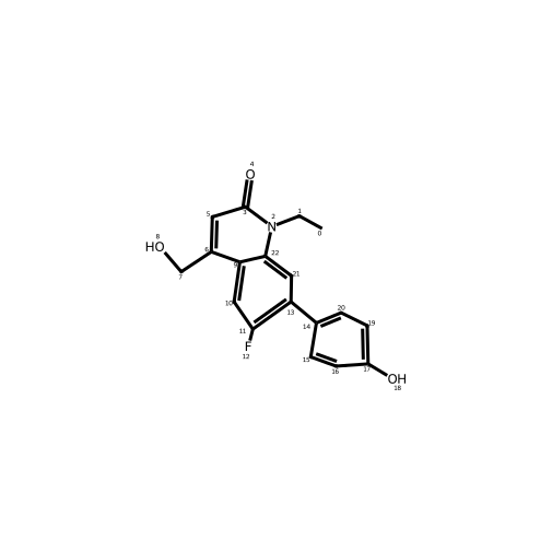 CCn1c(=O)cc(CO)c2cc(F)c(-c3ccc(O)cc3)cc21